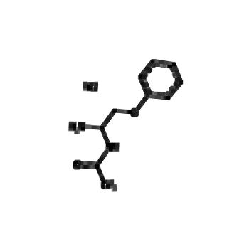 CC(=O)NC(N)COc1ccccc1.Cl